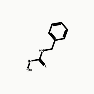 CC(C)(C)NC(=S)NCc1ccccc1